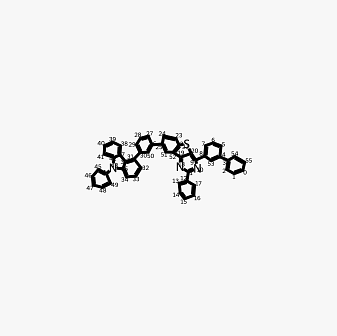 c1ccc(-c2cccc(-c3nc(-c4ccccc4)nc4c3sc3ccc(-c5cccc(-c6cccc7c6c6ccccc6n7-c6ccccc6)c5)cc34)c2)cc1